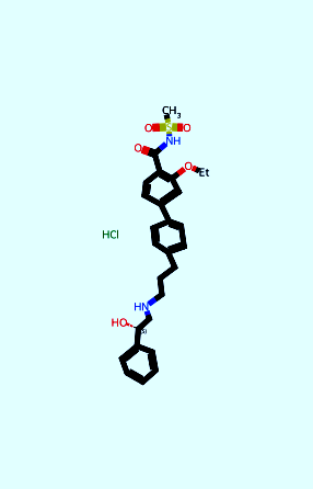 CCOc1cc(-c2ccc(CCCNC[C@@H](O)c3ccccc3)cc2)ccc1C(=O)NS(C)(=O)=O.Cl